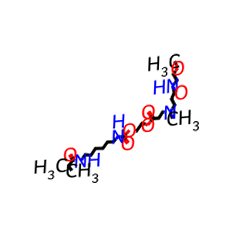 COCCNC(=O)CCN(C)CCC(=O)OCCOC(=O)NCCCCCCNC(=O)C(C)C